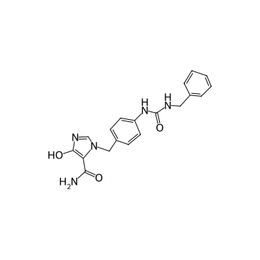 NC(=O)c1c(O)ncn1Cc1ccc(NC(=O)NCc2ccccc2)cc1